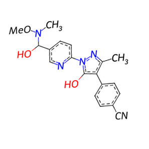 CON(C)C(O)c1ccc(-n2nc(C)c(-c3ccc(C#N)cc3)c2O)nc1